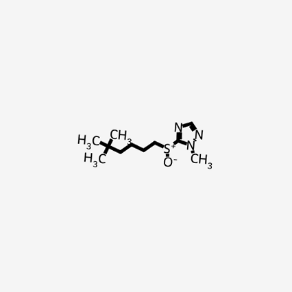 Cn1ncnc1[S+]([O-])CCCCC(C)(C)C